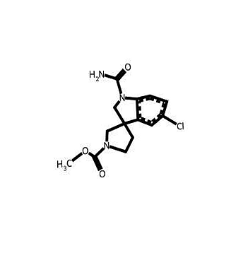 COC(=O)N1CCC2(C1)CN(C(N)=O)c1ccc(Cl)cc12